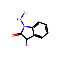 CCNN1C(=O)C(I)c2ccccc21